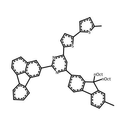 CCCCCCCCC1(CCCCCCCC)c2cc(C)ccc2-c2ccc(-c3cc(-c4ccc(-c5ccc(C)s5)s4)nc(-c4cc5c6c(cccc6c4)-c4ccccc4-5)n3)cc21